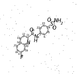 NS(=O)(=O)c1ccc(NC(=O)c2ccc3ccc(F)cc3n2)cc1